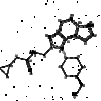 N#CC[C@H]1CC[C@H](n2c(CNC(=O)CC3CC3)nc3cnc4[nH]ccc4c32)CC1